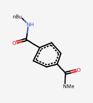 CCCCNC(=O)c1ccc(C(=O)NC)cc1